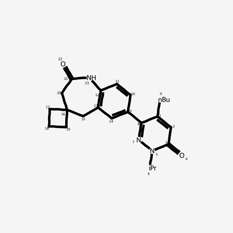 CCCCc1cc(=O)n(C(C)C)nc1-c1ccc2c(c1)CC1(CCC1)CC(=O)N2